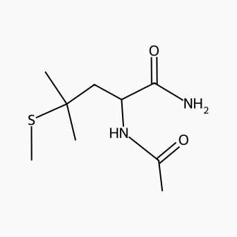 CSC(C)(C)CC(NC(C)=O)C(N)=O